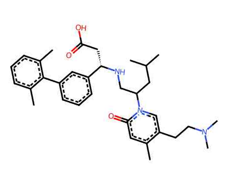 Cc1cc(=O)n(C(CN[C@@H](CC(=O)O)c2cccc(-c3c(C)cccc3C)c2)CC(C)C)cc1CCN(C)C